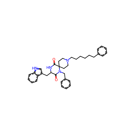 O=C1C(Cc2c[nH]c3ccccc23)NC(=O)C2(CCN(CCCCCCc3ccccc3)CC2)N1Cc1ccccc1